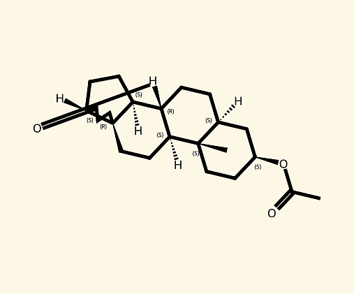 CC(=O)O[C@H]1CC[C@@]2(C)[C@@H](CC[C@@H]3[C@@H]2CC[C@]24CCC(=O)[C@H]2CC[C@@H]34)C1